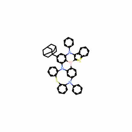 c1ccc(N2c3ccc4c(c3)N(c3ccccc3Sc3ccccc32)c2cc(C35CC6CC(CC(C6)C3)C5)cc3c2B4c2sc4ccccc4c2N3c2ccccc2)cc1